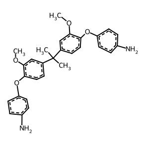 COc1cc(C(C)(C)c2ccc(Oc3ccc(N)cc3)c(OC)c2)ccc1Oc1ccc(N)cc1